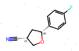 N#C[C@H]1CO[C@@H](c2ccc(F)cc2)C1